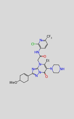 CCc1c(N2CCNCC2)c(=O)n2nc(C3=CCC(OC)CC3)nc2n1CC(=O)Nc1ccc(C(F)(F)F)nc1Cl